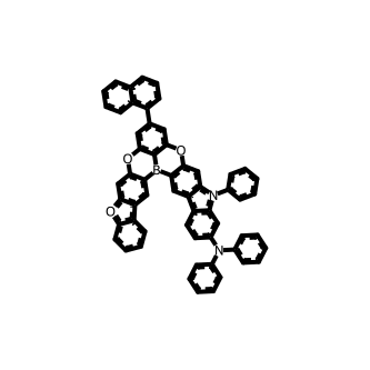 c1ccc(N(c2ccccc2)c2ccc3c4cc5c(cc4n(-c4ccccc4)c3c2)Oc2cc(-c3cccc4ccccc34)cc3c2B5c2cc4c(cc2O3)oc2ccccc24)cc1